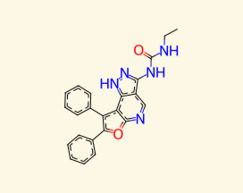 CCNC(=O)Nc1n[nH]c2c1cnc1oc(-c3ccccc3)c(-c3ccccc3)c12